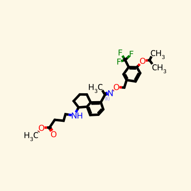 COC(=O)CCCNC1CCCc2c(/C(C)=N/OCc3ccc(OC(C)C)c(C(F)(F)F)c3)cccc21